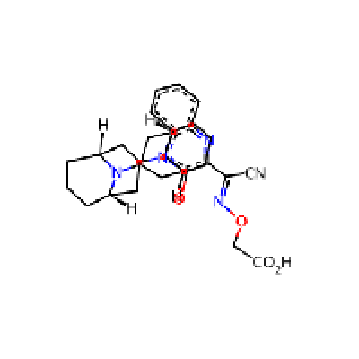 N#C/C(=N\OCC(=O)O)c1nc2ccccc2n(C2C[C@H]3CCC[C@@H](C2)N3C2C[C@H]3CCC[C@@H](C2)C3)c1=O